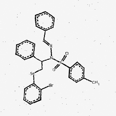 Cc1ccc(S(=O)(=O)N(N=Cc2ccccc2)C(C[Se]c2ccccc2Br)c2ccccc2)cc1